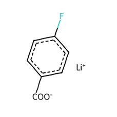 O=C([O-])c1ccc(F)cc1.[Li+]